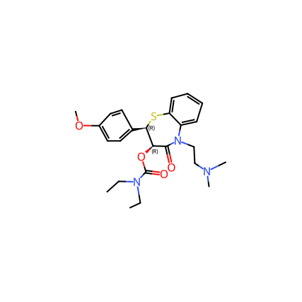 CCN(CC)C(=O)O[C@@H]1C(=O)N(CCN(C)C)c2ccccc2S[C@@H]1c1ccc(OC)cc1